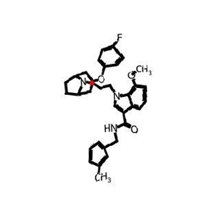 COc1cccc2c(C(=O)NCc3cccc(C)c3)cn(CCCN3C4CCC3CC(Oc3ccc(F)cc3)C4)c12